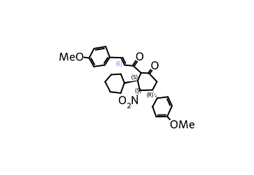 COC1=CCC([C@H]2CC(=O)C(C(=O)/C=C/c3ccc(OC)cc3)[C@H](C3CCCCC3)[C@H]2[N+](=O)[O-])C=C1